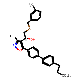 CCOC(=O)CCc1ccc(-c2ccc(-c3onc(C)c3[C@H](O)CSCc3cccc(C(F)(F)F)c3)cc2)cc1